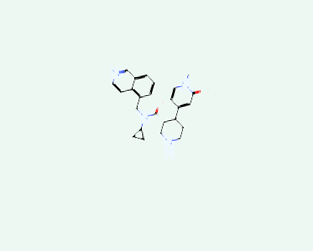 Cn1ccc(C2CCNC[C@@H]2C(=O)N(Cc2cccc3cnccc23)C2CC2)cc1=O